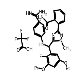 CCOc1cc(OC(C)C)c(F)c(C(Nc2ccc(C(=N)N)cc2)c2nc(-c3ccccc3C(N)=O)nn2C)c1.O=C(O)C(F)(F)F